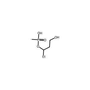 [CH2]P(=O)(O)OC(CC)CCO